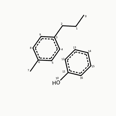 CCCc1ccc(C)cc1.Oc1ccccc1